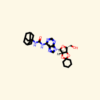 O=C(Nc1ncnc2c1ncn2[C@@H]1O[C@H](CO)C2OC3(CCCCC3)O[C@@H]21)NC12CC3CC(CC(C3)C1)C2